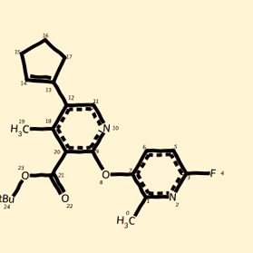 Cc1nc(F)ccc1Oc1ncc(C2=CCCC2)c(C)c1C(=O)OC(C)(C)C